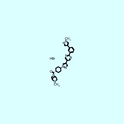 Br.CN1CC2CC1CN2C(=O)[C@H]1CC[C@H](n2cc(-c3cnc(-c4cccc(-c5cnn(C)c5)c4)nc3)cn2)CC1